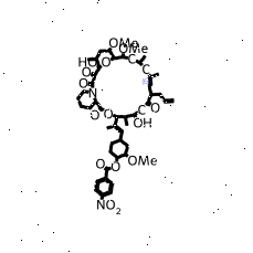 C=CCC1/C=C(\C)CC(C)CC(OC)C2OC(O)(C(=O)C(=O)N3CCCCC3C(=O)OC(C(C)=CC3CCC(OC(=O)c4ccc([N+](=O)[O-])cc4)C(OC)C3)C(C)C(O)CC1=O)C(C)CC2OC